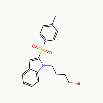 Cc1ccc(S(=O)(=O)c2cc3ccccc3n2CCCCBr)cc1